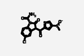 C[S+]([O-])c1csc(C(=O)C2C(=O)N(C(N)=O)c3ccc(Cl)cc32)c1